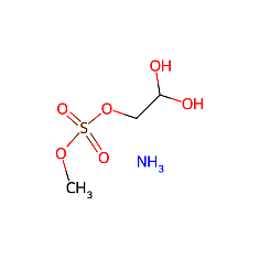 COS(=O)(=O)OCC(O)O.N